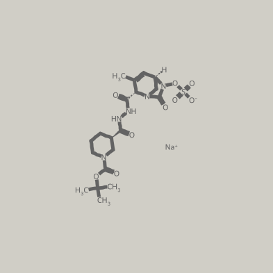 CC1=C[C@@H]2CN(C(=O)N2OS(=O)(=O)[O-])[C@@H]1C(=O)NNC(=O)[C@@H]1CCCN(C(=O)OC(C)(C)C)C1.[Na+]